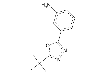 CC(C)(C)c1nnc(-c2cccc(N)c2)o1